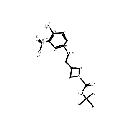 CC(C)(C)OC(=O)N1CC(COc2ccc(N)c([N+](=O)[O-])c2)C1